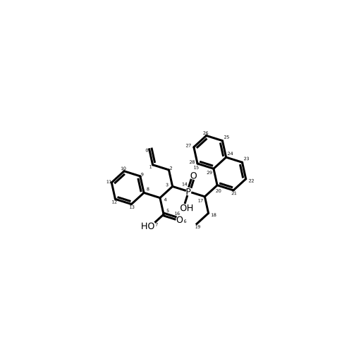 C=CCC(C(C(=O)O)c1ccccc1)P(=O)(O)C(CC)c1cccc2ccccc12